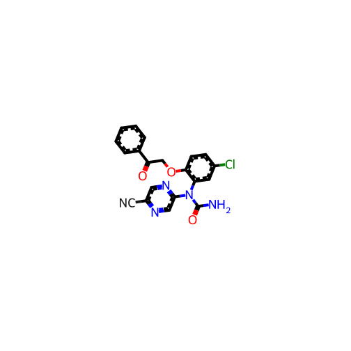 N#Cc1cnc(N(C(N)=O)c2cc(Cl)ccc2OCC(=O)c2ccccc2)cn1